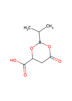 CC(C)B1OC(=O)CC(C(=O)O)O1